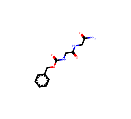 NC(=O)CNC(=O)CNC(=O)OCc1ccccc1